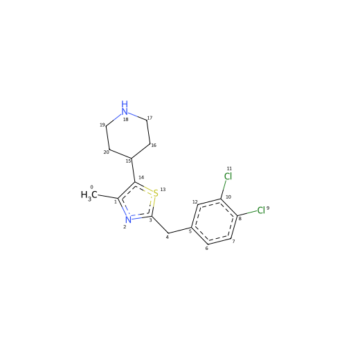 Cc1nc(Cc2ccc(Cl)c(Cl)c2)sc1C1CCNCC1